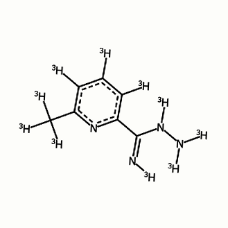 [3H]N=C(c1nc(C([3H])([3H])[3H])c([3H])c([3H])c1[3H])N([3H])N([3H])[3H]